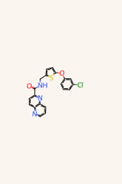 O=C(NCc1ccc(Oc2cccc(Cl)c2)s1)c1ccc2ncccc2n1